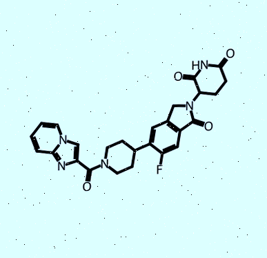 O=C1CCC(N2Cc3cc(C4CCN(C(=O)c5cn6ccccc6n5)CC4)c(F)cc3C2=O)C(=O)N1